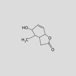 CC1C(O)C=CC2OC(=O)CC21